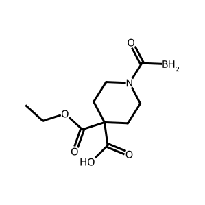 BC(=O)N1CCC(C(=O)O)(C(=O)OCC)CC1